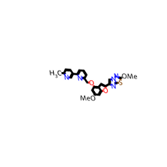 COc1cc(OCc2cccc(-c3ccc(C)nc3)n2)c2cc(-c3cn4nc(OC)sc4n3)oc2c1